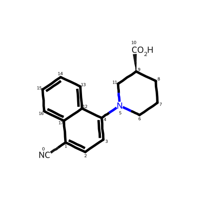 N#Cc1ccc(N2CCC[C@H](C(=O)O)C2)c2ccccc12